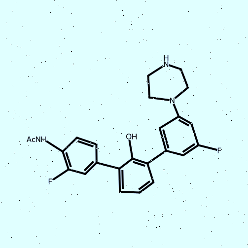 CC(=O)Nc1ccc(-c2cccc(-c3cc(F)cc(N4CCNCC4)c3)c2O)cc1F